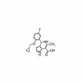 CC1=C(C(=O)O)c2[nH]ccc2C(c2cc(F)ccc2OCC2CC2)N1